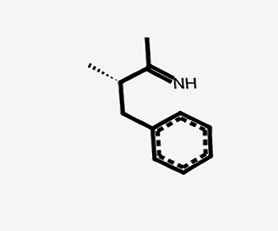 CC(=N)[C@@H](C)Cc1ccccc1